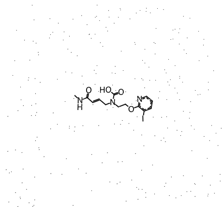 CNC(=O)/C=C/CN(CCOc1ncccc1I)C(=O)O